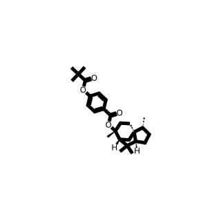 C[C@@H]1CC[C@H]2C(C)(C)[C@H]3C[C@@]12CC[C@@]3(C)OC(=O)c1ccc(OC(=O)C(C)(C)C)cc1